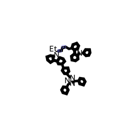 CC/C(=C\C=C/Cc1cccc2c1c1ccccc1n2-c1ccccc1)n1c2ccccc2c2cc(-c3ccc(-c4nc(-c5ccccc5)nc(-c5ccccc5)n4)cc3)ccc21